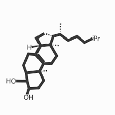 CC(C)CCC[C@@H](C)[C@H]1CC[C@H]2C3=C(CC[C@]12C)[C@@]1(C)CCC(O)C(O)C1CC3